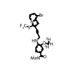 [2H]C([2H])([2H])Oc1cc(C(=O)NC)ccc1NCC#Cc1cc2c(Br)cccn2c1SC(F)(F)F